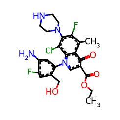 CCOC(=O)c1cn(-c2cc(N)c(F)cc2CO)c2c(Cl)c(N3CCNCC3)c(F)c(C)c2c1=O